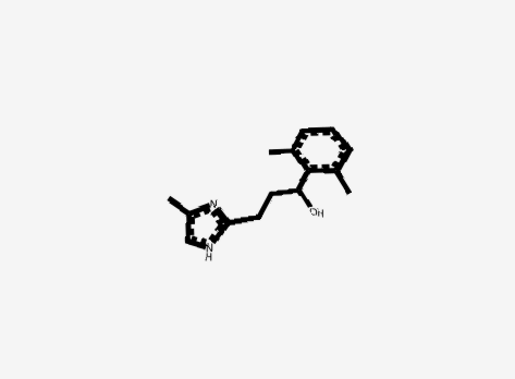 Cc1c[nH]c(CCC(O)c2c(C)cccc2C)n1